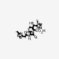 Cc1noc(CC(=O)NC2C(=O)N3C(C(=O)O)=C(C(S)c4nnnn4C)CS[C@H]23)n1